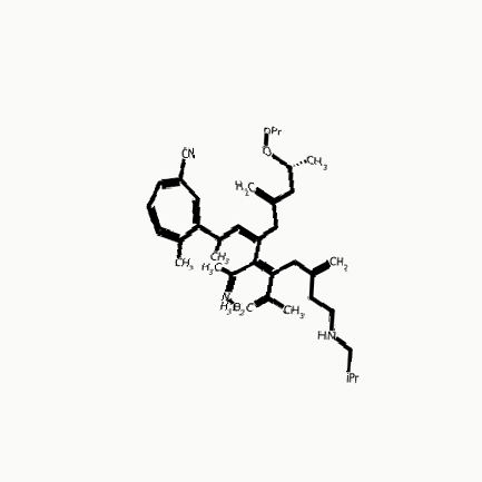 C=C(CCNCC(C)C)C/C(C(=C)C)=C(C(=C/C(C)C1=CC(C#N)=CC=C=C1C)\CC(=C)C[C@@H](C)OCCC)/C(C)=N\C